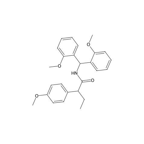 CCC(C(=O)NC(c1ccccc1OC)c1ccccc1OC)c1ccc(OC)cc1